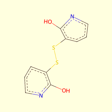 Oc1ncccc1SSc1cccnc1O